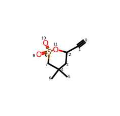 C#CC1CC(C)(C)CS(=O)(=O)O1